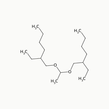 CCCCC(CC)COC(C)OCC(CC)CCCC